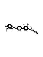 C=CCCCOc1ccc(C2CCC(COc3ccc(C)c(F)c3F)CC2)c(F)c1F